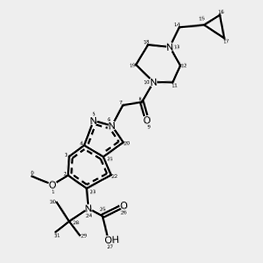 COc1cc2nn(CC(=O)N3CCN(CC4CC4)CC3)cc2cc1N(C(=O)O)C(C)(C)C